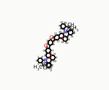 CC(C)(C)c1ccccc1N(c1ccc2cc3c(cc2c1)oc1cc2oc4cc5cc(N(c6ccccc6-c6ccccc6)c6ccccc6C(C)(C)C)ccc5cc4c2cc13)c1ccccc1-c1ccccc1